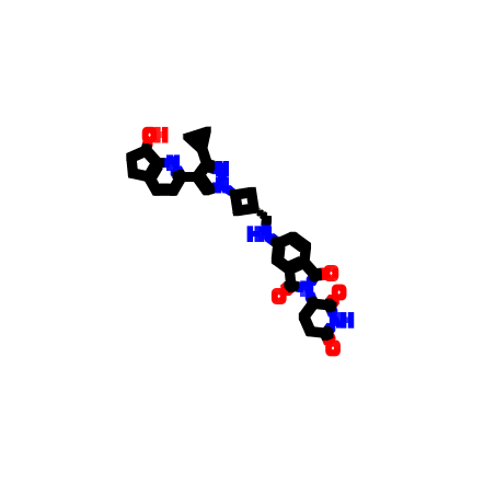 O=C1CCC(N2C(=O)c3ccc(NC[C@H]4C[C@H](n5cc(-c6ccc7c(n6)C(O)CC7)c(C6CC6)n5)C4)cc3C2=O)C(=O)N1